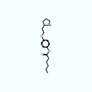 CCCCCC(=O)Oc1ccc(OCCC2CCCN2)cc1